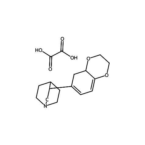 C1=C2OCCOC2CC(C2CN3CCC2CC3)=C1.O=C(O)C(=O)O